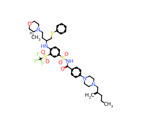 C=C(CCC)CN1CCN(c2ccc(C(=O)NS(=O)(=O)c3ccc(NC(CCN4CCOC[C@H]4C)CSc4ccccc4)c(S(=O)(=O)C(F)(F)F)c3)cc2)CC1